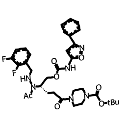 CC(=O)N(NCc1cccc(F)c1F)[C@@H](CCC(=O)N1CCN(C(=O)OC(C)(C)C)CC1)COC(=O)Nc1cc(-c2ccccc2)no1